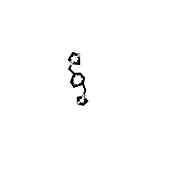 c1c[n+](Cc2ccc(C[n+]3ccsc3)cc2)cs1